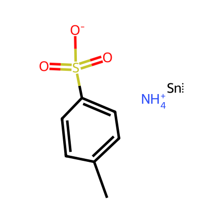 Cc1ccc(S(=O)(=O)[O-])cc1.[NH4+].[Sn]